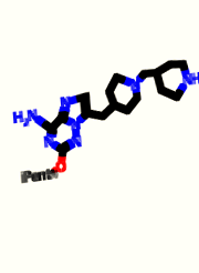 CCC[C@H](C)Oc1nc(N)c2ncc(CC3CCN(CC4CCNCC4)CC3)n2n1